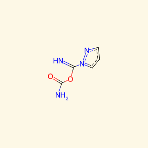 N=C(OC(N)=O)n1cccn1